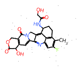 Cc1c(F)cc2nc3c(c4c2c1CCC4NC(=O)CO)Cn1c-3cc2c(c1=O)COC(=O)C2O